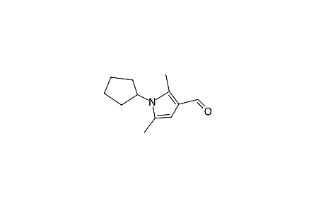 Cc1cc(C=O)c(C)n1C1CCCC1